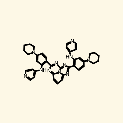 C1=CC2=NC(c3ccc(N4CCCCC4)cc3Nc3ccncc3)=NC3=NC(c4ccc(N5CCCCC5)cc4Nc4ccncc4)=NC(=C1)N23